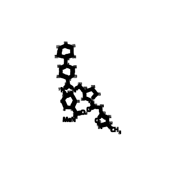 CNC(=O)c1ccc2nc(-c3ccc(-c4ccccc4)cc3)n(CC3CCN(C(=O)Cc4cc(C)no4)C3)c2c1